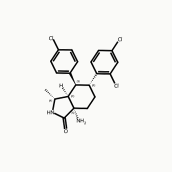 C[C@H]1NC(=O)[C@]2(N)CC[C@@H](c3ccc(Cl)cc3Cl)[C@H](c3ccc(Cl)cc3)[C@H]12